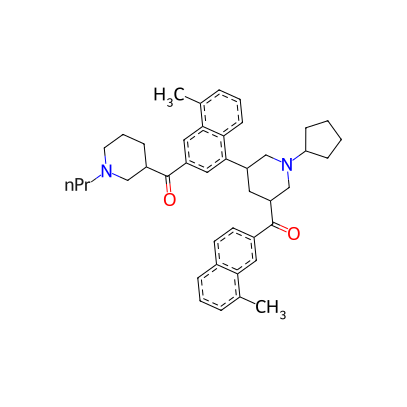 CCCN1CCCC(C(=O)c2cc(C3CC(C(=O)c4ccc5cccc(C)c5c4)CN(C4CCCC4)C3)c3cccc(C)c3c2)C1